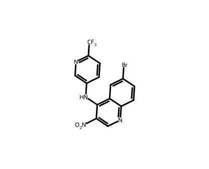 O=[N+]([O-])c1cnc2ccc(Br)cc2c1Nc1ccc(C(F)(F)F)nc1